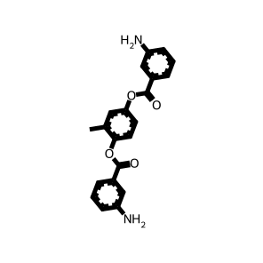 Cc1cc(OC(=O)c2cccc(N)c2)ccc1OC(=O)c1cccc(N)c1